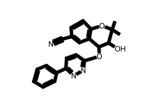 CC1(C)Oc2ccc(C#N)cc2C(Oc2ccc(-c3ccccc3)nn2)C1O